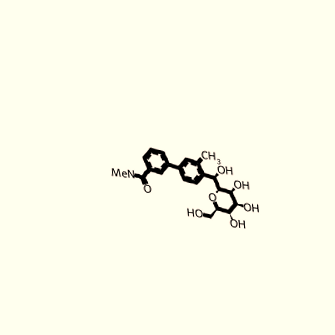 CNC(=O)c1cccc(-c2ccc([C@@H](O)[C@H]3O[C@H](CO)[C@@H](O)[C@H](O)[C@@H]3O)c(C)c2)c1